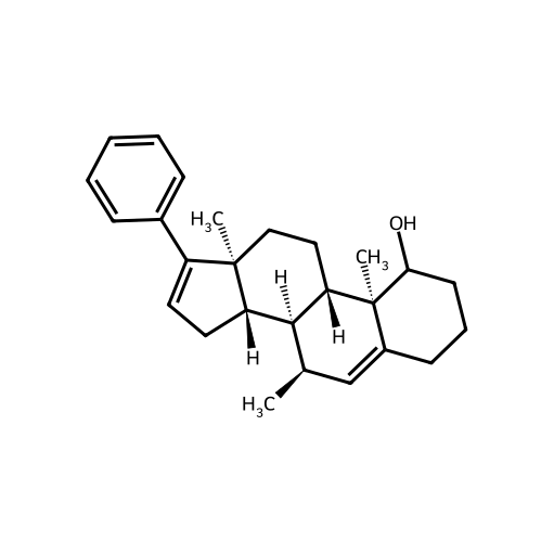 C[C@@H]1C=C2CCCC(O)[C@]2(C)[C@H]2CC[C@]3(C)C(c4ccccc4)=CC[C@H]3[C@H]12